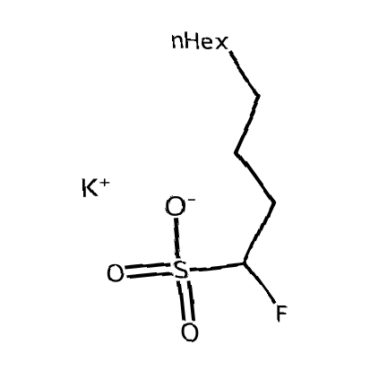 CCCCCCCCCC(F)S(=O)(=O)[O-].[K+]